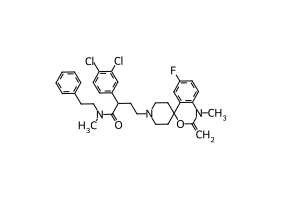 C=C1OC2(CCN(CCC(C(=O)N(C)CCc3ccccc3)c3ccc(Cl)c(Cl)c3)CC2)c2cc(F)ccc2N1C